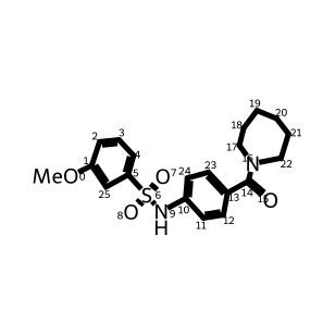 COc1cccc(S(=O)(=O)Nc2ccc(C(=O)N3CCCCCC3)cc2)c1